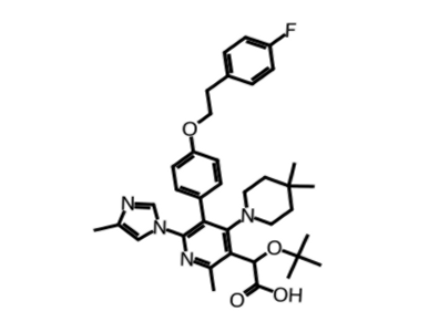 Cc1cn(-c2nc(C)c(C(OC(C)(C)C)C(=O)O)c(N3CCC(C)(C)CC3)c2-c2ccc(OCCc3ccc(F)cc3)cc2)cn1